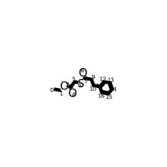 CCOC(=O)CSC(=O)CCc1ccccc1